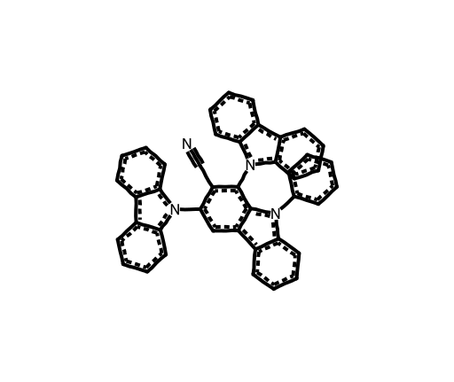 N#Cc1c(-n2c3ccccc3c3ccccc32)cc2c3ccccc3n(-c3ccccc3)c2c1-n1c2ccccc2c2ccccc21